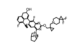 C#Cc1c(F)ccc2c1C(c1c(F)cc3c(N4CC5CCC(C4)N5)nc(OCC4(CN5CCC6(CC5)CC6(F)F)CC4)nc3c1F)=C[C@H](O)C2